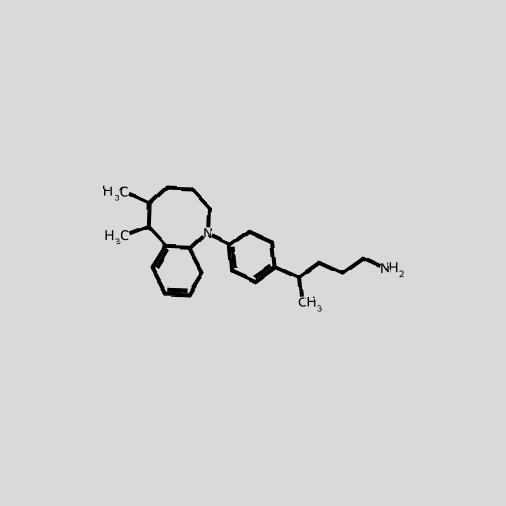 CC(CCCN)C1=CC=C(N2CCCC(C)C(C)C3=CC=CCC32)CC1